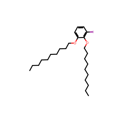 CCCCCCCCCCOc1cccc(I)c1OCCCCCCCCCC